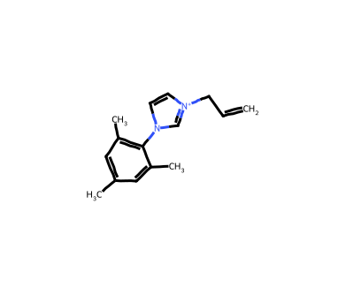 C=CC[n+]1ccn(-c2c(C)cc(C)cc2C)c1